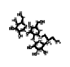 CC1O[C@@H](OC2[C@H](OCCCN)OC(CO)[C@H](O)[C@@H]2O[C@H]2OC(CO)[C@H](O)[C@H](O)C2O)C(O)[C@@H](O)[C@@H]1O